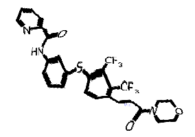 O=C(Nc1cccc(Sc2ccc(/C=C/C(=O)N3CCOCC3)c(C(F)(F)F)c2C(F)(F)F)c1)c1ccccn1